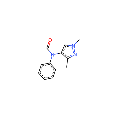 Cc1nn(C)cc1N(C=O)c1ccccc1